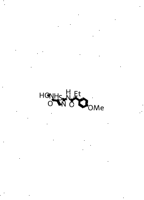 CC[C@@H](C(=O)Nc1ncc(C(=O)NO)s1)c1ccc(OC)cc1